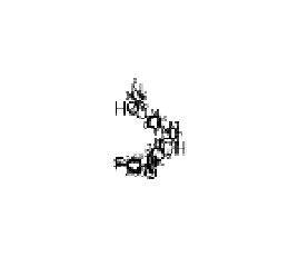 CN1CC(O)(COc2ccc(-n3nccc3CC3(O)CCN(C(=O)c4ccc(F)cc4)CC3)cc2)C1